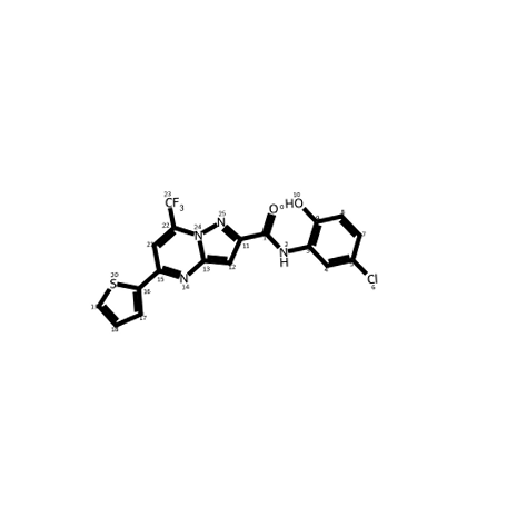 O=C(Nc1cc(Cl)ccc1O)c1cc2nc(-c3cccs3)cc(C(F)(F)F)n2n1